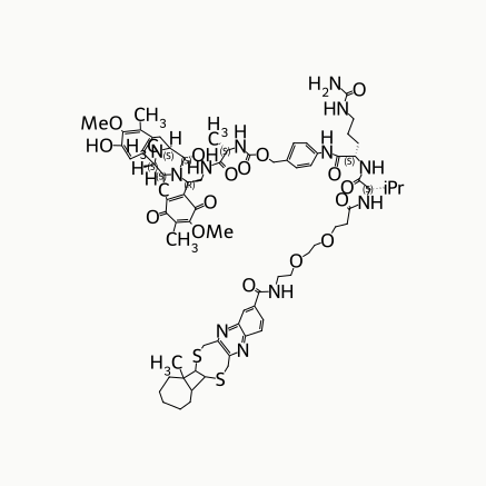 COC1=C(C)C(=O)C2=C(C1=O)[C@H](CNC(=O)[C@H](C)NC(=O)OCc1ccc(NC(=O)[C@H](CCCNC(N)=O)NC(=O)[C@@H](NC(=O)CCOCCOCCNC(=O)c3ccc4nc5c(nc4c3)CSC3C(SC5)C4CCCCCC43C)C(C)C)cc1)N1[C@@H](O)[C@@H]3Cc4c(cc(O)c(OC)c4C)[C@@H]([C@@H]1C2)N3C